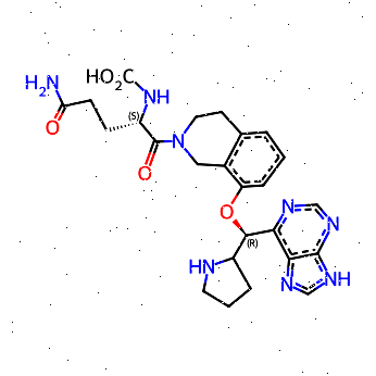 NC(=O)CC[C@H](NC(=O)O)C(=O)N1CCc2cccc(O[C@@H](c3ncnc4[nH]cnc34)C3CCCN3)c2C1